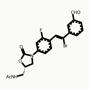 CC(=O)NC[C@H]1CN(c2ccc(C=C(Br)c3cccc(C=O)c3)c(F)c2)C(=O)O1